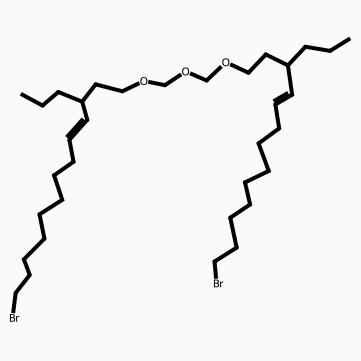 CCCC(C=CCCCCCCCCBr)CCOCOCOCCC(C=CCCCCCCCCBr)CCC